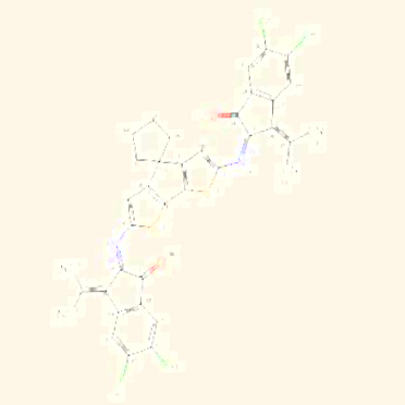 N#CC(C#N)=C1/C(=N/c2cc3c(s2)-c2sc(/N=C4\C(=O)c5cc(F)c(F)cc5C4=C(C#N)C#N)cc2C32CCCC2)C(=O)c2cc(F)c(F)cc21